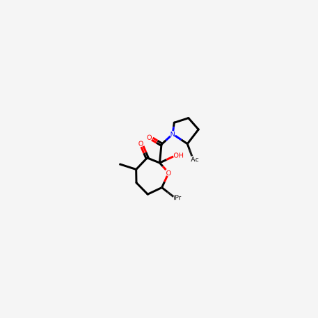 CC(=O)C1CCCN1C(=O)C1(O)OC(C(C)C)CCC(C)C1=O